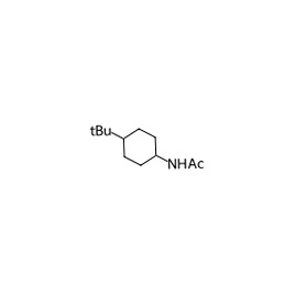 CC(=O)NC1CCC(C(C)(C)C)CC1